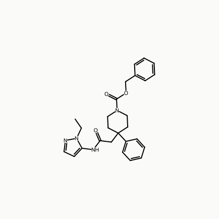 CCn1nccc1NC(=O)CC1(c2ccccc2)CCN(C(=O)OCc2ccccc2)CC1